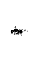 CNC.COc1cccc(C(=O)Nc2ccc3[nH]c(C4CCCCC4)nc3c2)c1OC